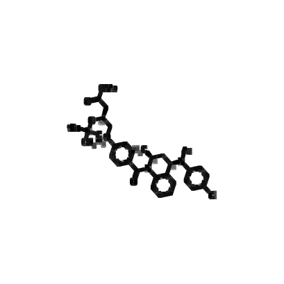 COC(=O)C[C@@H](COc1ccc(C(=O)N2c3ccccc3[C@H](N(C(C)=O)c3ccc(Cl)cc3)C[C@@H]2C)cc1)O[Si](C)(C)C(C)(C)C